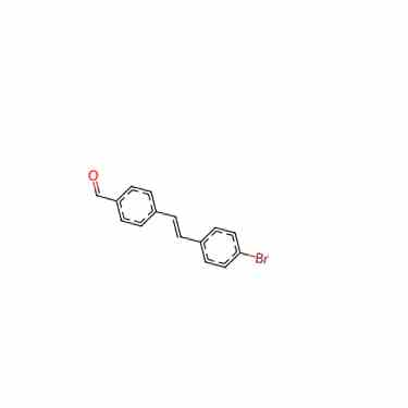 O=Cc1ccc(/C=C/c2ccc(Br)cc2)cc1